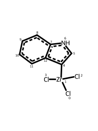 [Cl][Zr]([Cl])([Cl])[c]1c[nH]c2ccccc12